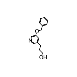 OCCCc1cncc(OCc2ccccc2)c1